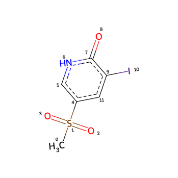 CS(=O)(=O)c1c[nH]c(=O)c(I)c1